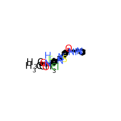 CC(C)(C)OC(=O)NCc1c(F)cc(-c2cn3c(n2)sc2cc(C(=O)NCCCN4CCCCC4)ccc23)cc1Cl